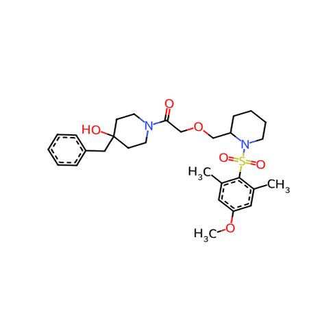 COc1cc(C)c(S(=O)(=O)N2CCCCC2COCC(=O)N2CCC(O)(Cc3ccccc3)CC2)c(C)c1